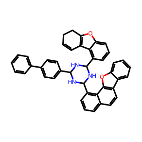 C1=Cc2c(oc3cccc(C4NC(c5ccc(-c6ccccc6)cc5)NC(c5cccc6ccc7c8ccccc8oc7c56)N4)c23)CC1